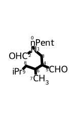 CCCCCN(C=O)CC(C=O)C(C)CC(C)C